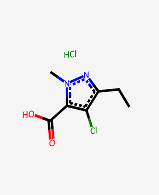 CCc1nn(C)c(C(=O)O)c1Cl.Cl